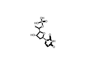 O=c1ccn([C@H]2C[C@H](O)[C@@H](C(I)OP(=O)(O)O)O2)c(=O)[nH]1